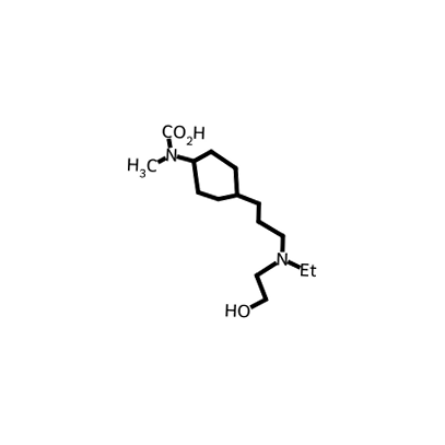 CCN(CCO)CCCC1CCC(N(C)C(=O)O)CC1